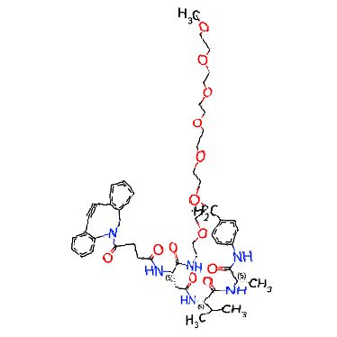 [CH2]c1ccc(NC(=O)[C@H](C)NC(=O)[C@@H](NC(=O)C[C@H](NC(=O)CCC(=O)N2Cc3ccccc3C#Cc3ccccc32)C(=O)NCCOCCOCCOCCOCCOCCOCCOC)C(C)C)cc1